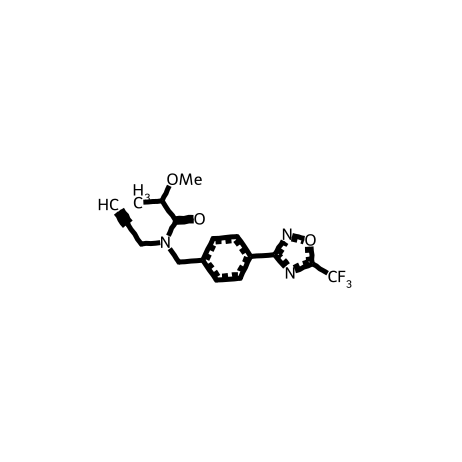 C#CCN(Cc1ccc(-c2noc(C(F)(F)F)n2)cc1)C(=O)C(C)OC